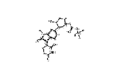 Cn1c(=O)n(C2CCC(=O)NC2=O)c2ccc(C3CN(CC(=O)OC(C)(C)C)CCC3F)cc21